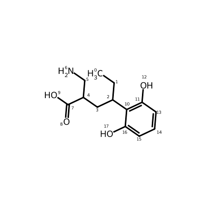 CCC(CC(CN)C(=O)O)c1c(O)cccc1O